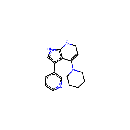 C1=C(N2CCCCC2)c2c(-c3cccnc3)c[nH]c2NC1